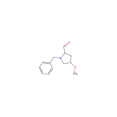 COC1CC(C=O)N(Cc2ccccc2)C1